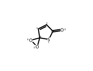 O=C1C=CC2(OO2)S1